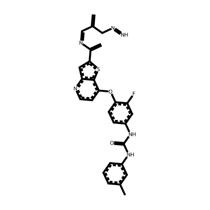 C=C(/C=N\C(=C)c1cc2nccc(Oc3ccc(NC(=O)Nc4cccc(C)c4)cc3F)c2s1)CN=N